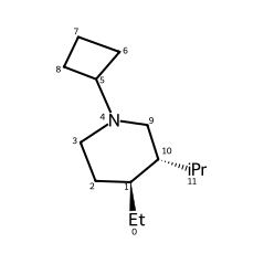 CC[C@H]1CCN(C2CCC2)C[C@@H]1C(C)C